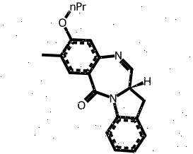 CCCOc1cc2c(cc1C)C(=O)N1c3ccccc3C[C@H]1C=N2